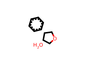 C1CCOC1.O.c1ccccc1